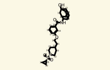 O=C(NC1C2CC3CC1CC(O)(C3)C2)c1cccc(OCCC2CCN(S(=O)(=O)C3CC3)CC2)c1